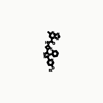 CCOc1ccc(-c2nnc(C3CC(NC(=O)c4cc(C)nc5ncnn45)C3)n2-c2ccccc2F)nc1